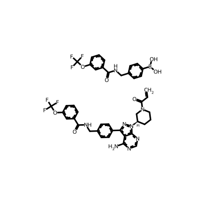 C=CC(=O)N1CCC[C@@H](n2nc(-c3ccc(CNC(=O)c4cccc(OC(F)(F)F)c4)cc3)c3c(N)ncnc32)C1.O=C(NCc1ccc(B(O)O)cc1)c1cccc(OC(F)(F)F)c1